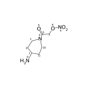 NC1CCN(C(=O)CO[N+](=O)[O-])CC1